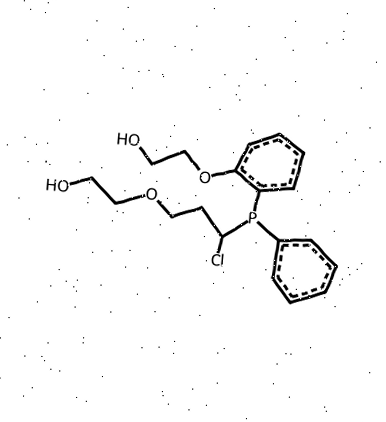 OCCOCCC(Cl)P(c1ccccc1)c1ccccc1OCCO